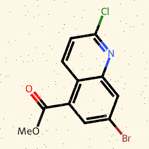 COC(=O)c1cc(Br)cc2nc(Cl)ccc12